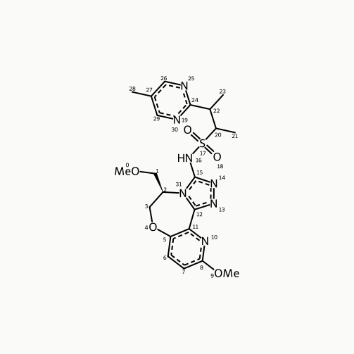 COC[C@@H]1COc2ccc(OC)nc2-c2nnc(NS(=O)(=O)C(C)C(C)c3ncc(C)cn3)n21